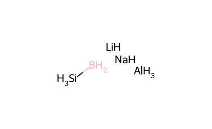 B[SiH3].[AlH3].[LiH].[NaH]